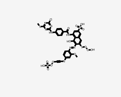 COc1cc(SC#COOS(=O)(=O)O)ccc1N=Nc1c(SOOO)cc2cc(S(=O)(=O)O)cc(NC(=O)c3ccc(Nc4nc(Cl)nc(SC)n4)cc3)c2c1O